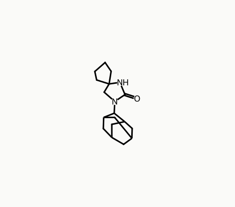 O=C1NC2(CCCC2)CN1C1C2CC3CC(C2)CC1C3